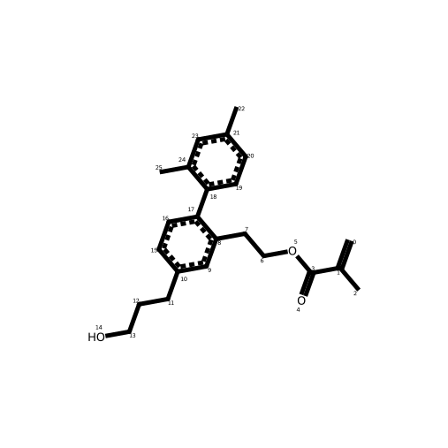 C=C(C)C(=O)OCCc1cc(CCCO)ccc1-c1ccc(C)cc1C